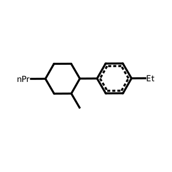 CCCC1CCC(c2ccc(CC)cc2)C(C)C1